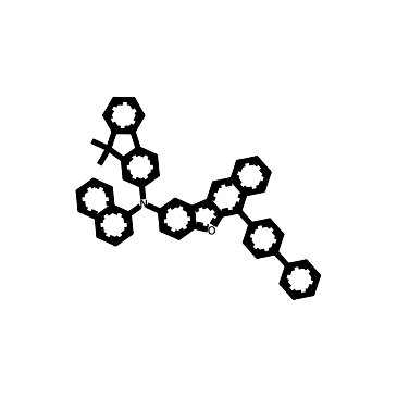 CC1(C)c2ccccc2-c2ccc(N(c3ccc4oc5c(-c6ccc(-c7ccccc7)cc6)c6ccccc6cc5c4c3)c3cccc4ccccc34)cc21